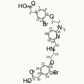 CN(CCOc1ccc(CC(=O)O)cc1Br)c1cccc(CNCCOc2ccc(CC(=O)O)cc2Br)n1